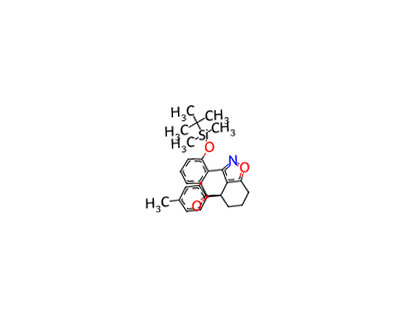 Cc1ccc(C23CCCc4onc(c42)-c2c(O[Si](C)(C)C(C)(C)C)cccc2C3=O)cc1